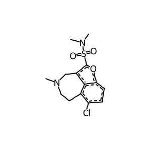 CN1CCc2c(Cl)ccc3oc(S(=O)(=O)N(C)C)c(c23)C1